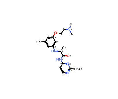 COc1nccc(NC(=O)[C@H](C)Nc2cc(OCCN(C)C)cc(C(F)(F)F)c2)n1